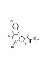 CC1(C)CC1NC(=O)c1cc2c(cc1F)S(=O)(=O)C[C@H](N)C(=O)N2Cc1ccc(Cl)cc1.Cl